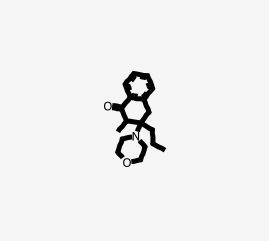 CCCC1(N2CCOCC2)Cc2ccccc2C(=O)C1C